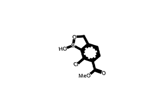 COC(=O)c1ccc2c(c1Cl)B(O)OC2